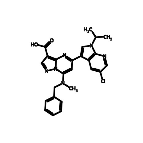 CC(C)n1cc(-c2cc(N(C)Cc3ccccc3)n3ncc(C(=O)O)c3n2)c2cc(Cl)cnc21